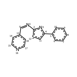 C(=N/c1nc(-c2ccccc2)cs1)/c1ccncc1